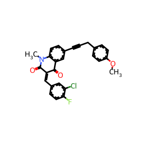 COc1ccc(CC#Cc2ccc3c(c2)C(=O)/C(=C\c2ccc(F)c(Cl)c2)C(=O)N3C)cc1